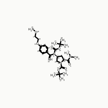 CN(C)C(=O)[C@@H]1C[C@H](N(C(=N)c2ccc(OCCON)cc2)C(=O)OC(C)(C)C)CN1C(=O)OC(C)(C)C